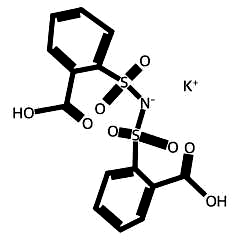 O=C(O)c1ccccc1S(=O)(=O)[N-]S(=O)(=O)c1ccccc1C(=O)O.[K+]